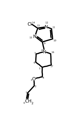 C=CCOCC1CCN(c2ccnc(Cl)n2)CC1